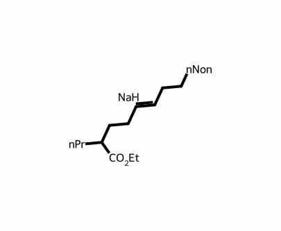 CCCCCCCCCCCC=CCCC(CCC)C(=O)OCC.[NaH]